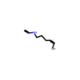 C=CNCCC/C=C\CCC